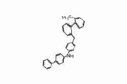 Cc1ccccc1-c1ccccc1Cc1ccc(Nc2ccc(-c3ccccc3)cc2)cc1